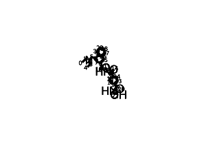 CCN(CC)Cc1cc(C(C)ONC(=O)c2ccc(C(=O)NO)cc2)cc2ccccc12